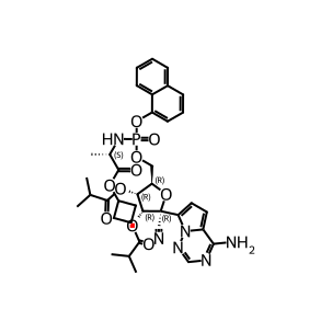 CC(C)C(=O)O[C@H]1[C@@H](OC(=O)C(C)C)[C@](C#N)(c2ccc3c(N)ncnn23)O[C@@H]1COP(=O)(N[C@@H](C)C(=O)OC1CCC1)Oc1cccc2ccccc12